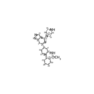 C[C@H](Nc1cc(-c2cc3nncn3c(N3CC4CC3CN4)n2)ccn1)c1ccccc1